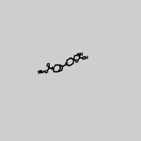 CC(C)(C)OC(=O)N1CC2CC(C1)C(N1CCC3(CC1)CNC(O)O3)C2